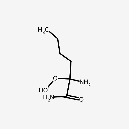 CCCCC(N)(OO)C(N)=O